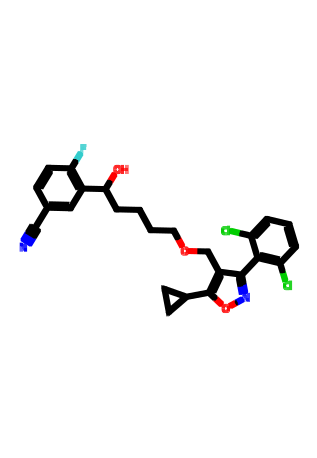 N#Cc1ccc(F)c(C(O)CCCCOCc2c(-c3c(Cl)cccc3Cl)noc2C2CC2)c1